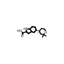 CC1(C)C[C@@H](c2ccc3[nH]c(C(=O)O)cc3c2)CCO1